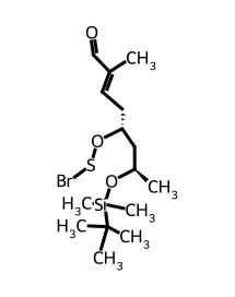 C/C(C=O)=C\C[C@H](C[C@@H](C)O[Si](C)(C)C(C)(C)C)OSBr